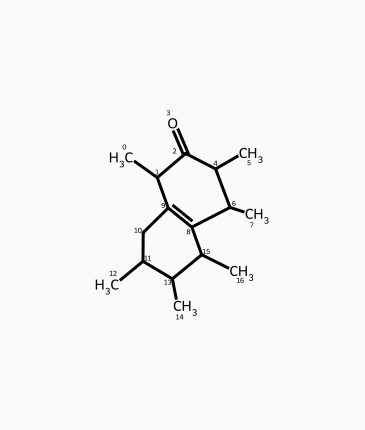 CC1C(=O)C(C)C(C)C2=C1CC(C)C(C)C2C